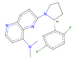 CN(C)c1ccnc2ccc(N3CCC[C@@H]3c3cc(F)ccc3F)nc12